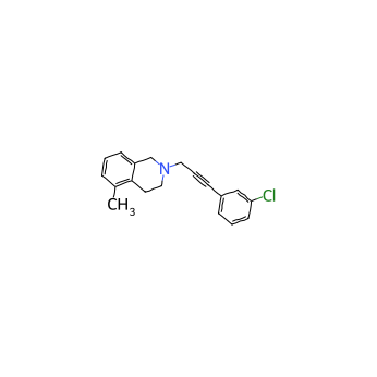 Cc1cccc2c1CCN(CC#Cc1cccc(Cl)c1)C2